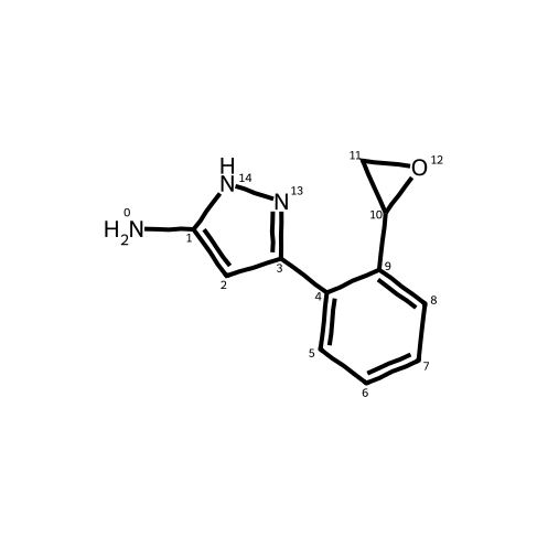 Nc1cc(-c2ccccc2C2CO2)n[nH]1